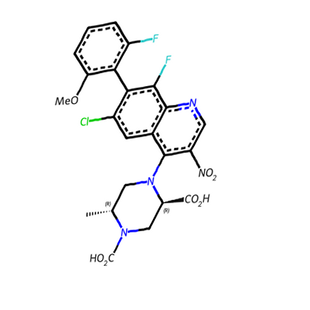 COc1cccc(F)c1-c1c(Cl)cc2c(N3C[C@@H](C)N(C(=O)O)C[C@@H]3C(=O)O)c([N+](=O)[O-])cnc2c1F